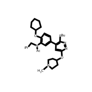 CCCCc1nnc(OC2CCN(C)CC2)cc1-c1ccc(OC2CCCCC2)c(N(CC(C)C)C(C)=O)c1